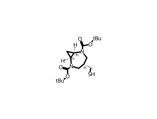 CC(C)(C)OC(=O)N1C[C@H](CS)CN(C(=O)OC(C)(C)C)[C@H]2C[C@H]21